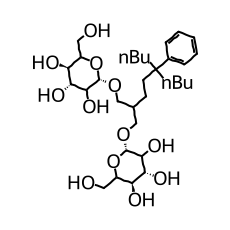 CCCCC(CCCC)(CCC(CO[C@H]1OC(CO)[C@H](O)[C@@H](O)C1O)CO[C@H]1OC(CO)[C@H](O)[C@@H](O)C1O)c1ccccc1